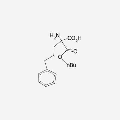 CCCCOC(=O)C(N)(CCCc1ccccc1)C(=O)O